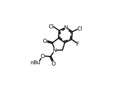 CCCCOC(=O)N1Cc2c(F)c(Cl)nc(Cl)c2C1=O